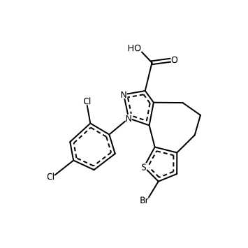 O=C(O)c1nn(-c2ccc(Cl)cc2Cl)c2c1CCCc1cc(Br)sc1-2